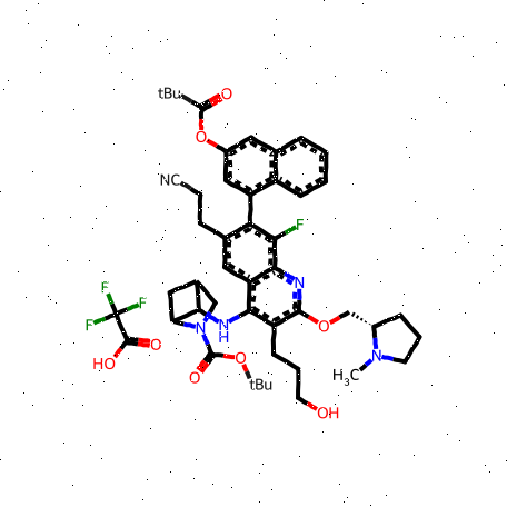 CN1CCC[C@H]1COc1nc2c(F)c(-c3cc(OC(=O)C(C)(C)C)cc4ccccc34)c(CCC#N)cc2c(NC2C3CC2N(C(=O)OC(C)(C)C)C3)c1CCCO.O=C(O)C(F)(F)F